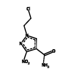 NC(=O)c1cn(CCCl)nc1[N+](=O)[O-]